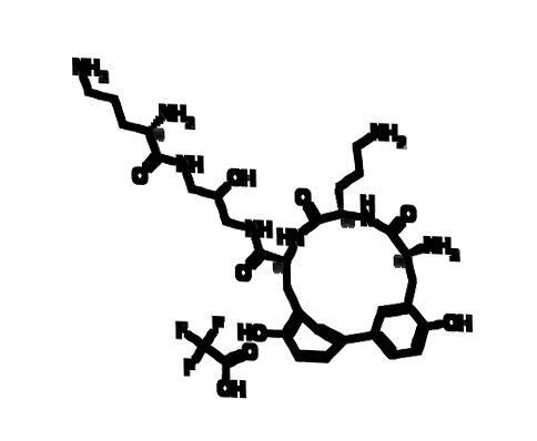 NCCC[C@@H]1NC(=O)[C@@H](N)Cc2cc(ccc2O)-c2ccc(O)c(c2)C[C@@H](C(=O)NCC(O)CNC(=O)[C@@H](N)CCCN)NC1=O.O=C(O)C(F)(F)F